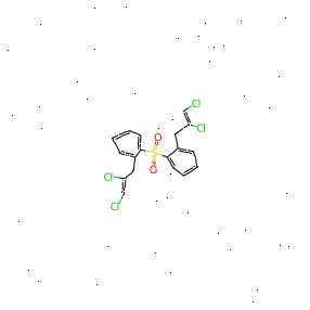 O=S(=O)(c1ccccc1CC(Cl)=CCl)c1ccccc1CC(Cl)=CCl